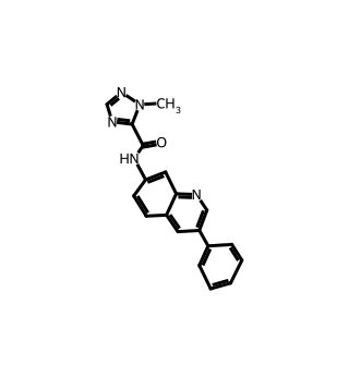 Cn1ncnc1C(=O)Nc1ccc2cc(-c3ccccc3)cnc2c1